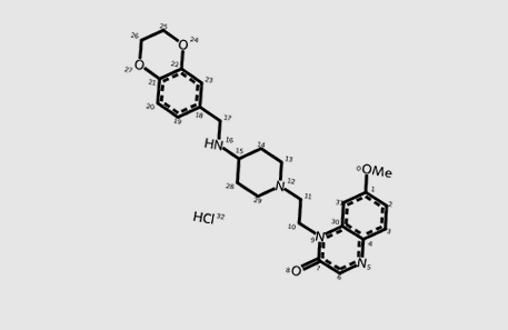 COc1ccc2ncc(=O)n(CCN3CCC(NCc4ccc5c(c4)OCCO5)CC3)c2c1.Cl